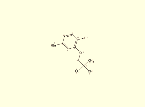 CC(C)(O)COc1cc(C(C)(C)C)ccc1F